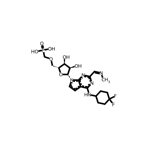 C/N=C\c1nc(NC2CCC(F)(F)CC2)c2ccn([C@@H]3O[C@H](COCP(=O)(O)O)[C@@H](O)[C@H]3O)c2n1